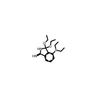 CCOC1(OCC)NC(=N)c2cccc(N(CC)CC)c21